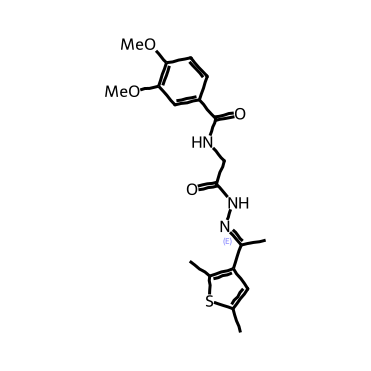 COc1ccc(C(=O)NCC(=O)N/N=C(\C)c2cc(C)sc2C)cc1OC